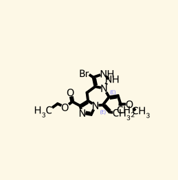 C=C(/C=C1\C(=C/C)n2cnc(C(=O)OCC)c2CC2=C(Br)NNN21)OC